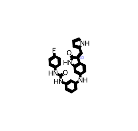 O=C(Nc1ccc(F)cc1)Nc1cccc(Nc2ccc3c(c2)NC(=O)/C3=C\c2ccc[nH]2)c1